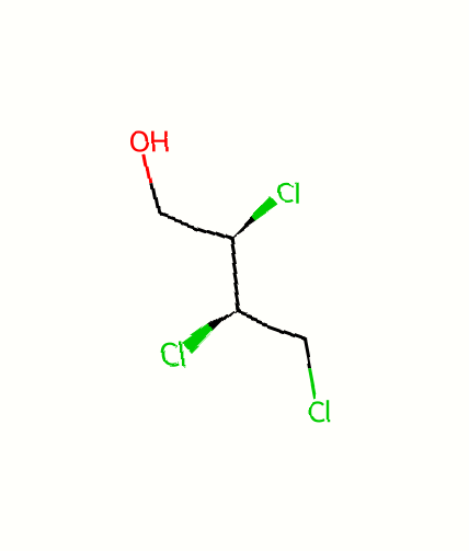 OC[C@@H](Cl)[C@H](Cl)CCl